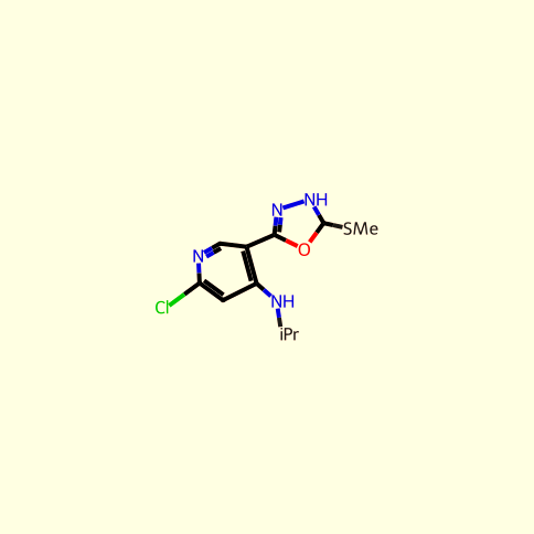 CSC1NN=C(c2cnc(Cl)cc2NC(C)C)O1